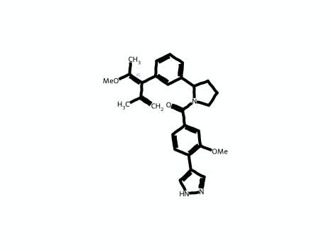 C=C(C)/C(=C(/C)OC)c1cccc(C2CCCN2C(=O)c2ccc(-c3cn[nH]c3)c(OC)c2)c1